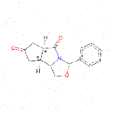 O=C1C[C@@H]2C3COC(c4ccccc4)N3C(=O)[C@@H]2C1